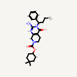 CC1(C)CCC(OC(=O)N2CCc3c(nc(N)n(C(CCC(F)(F)F)c4ccccc4)c3=O)C2)CC1